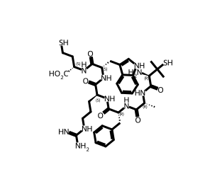 C[C@@H](NC(=O)[C@@H](N)C(C)(C)S)C(=O)N[C@H](Cc1ccccc1)C(=O)N[C@@H](CCCNC(=N)N)C(=O)N[C@@H](Cc1c[nH]c2ccccc12)C(=O)N[C@@H](CCS)C(=O)O